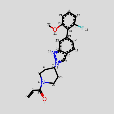 C=CC(=O)N1CCC(n2cc3ccc(-c4c(F)cccc4OC)cc3n2)CC1